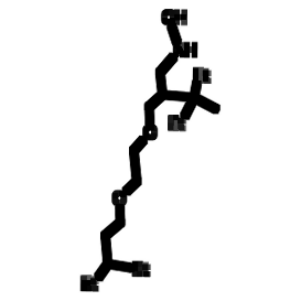 CCC(CC)CCOCCOCC(CNO)C(C)(CC)CC